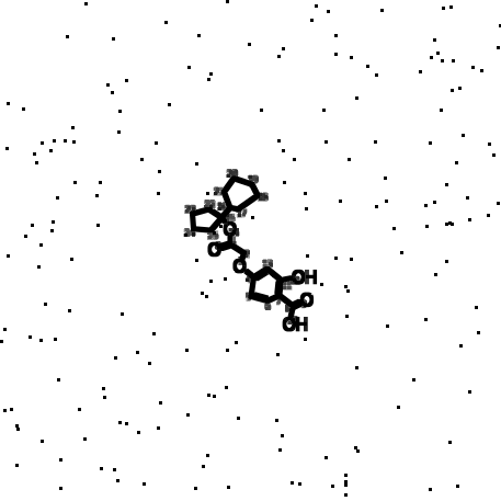 O=C(COc1ccc(C(=O)O)c(O)c1)OC1(C2CCCCC2)CCCC1